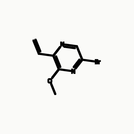 C=Cc1ncc(Br)nc1OC